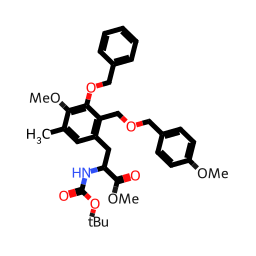 COC(=O)C(Cc1cc(C)c(OC)c(OCc2ccccc2)c1COCc1ccc(OC)cc1)NC(=O)OC(C)(C)C